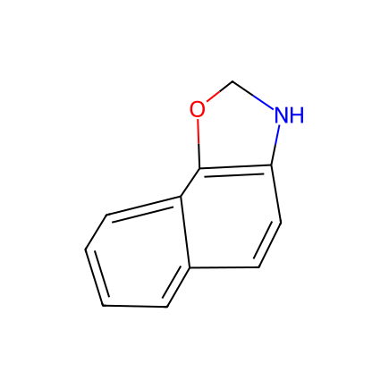 c1ccc2c3c(ccc2c1)NCO3